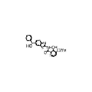 COc1ccnc(C(=O)Nc2nc3ccc(C(O)c4ccccc4)cc3s2)c1O